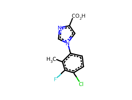 Cc1c(-n2cnc(C(=O)O)c2)ccc(Cl)c1F